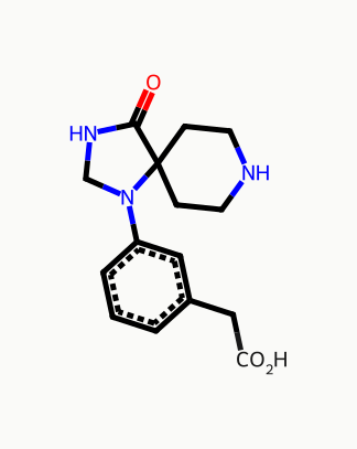 O=C(O)Cc1cccc(N2CNC(=O)C23CCNCC3)c1